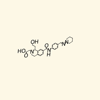 O=C(O)CN1CCc2ccc(C(=O)Nc3ccc(C=NN4CCCCC4)cc3)cc2C1CCO